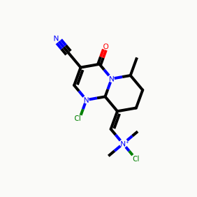 CC1CCC(=C[N+](C)(C)Cl)C2N(Cl)C=C(C#N)C(=O)N12